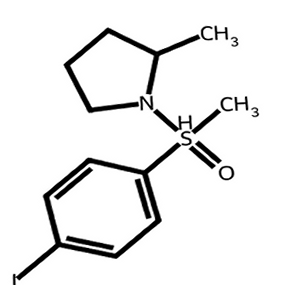 CC1CCCN1[SH](C)(=O)c1ccc(I)cc1